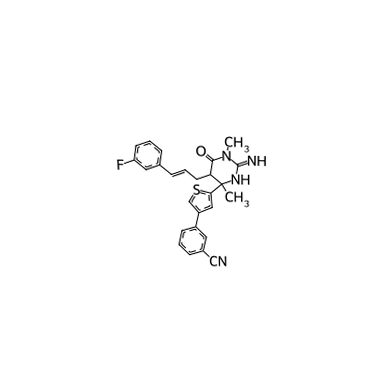 CN1C(=N)NC(C)(c2cc(-c3cccc(C#N)c3)cs2)C(C/C=C/c2cccc(F)c2)C1=O